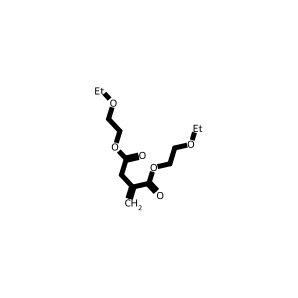 C=C(CC(=O)OCCOCC)C(=O)OCCOCC